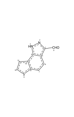 O=Cc1n[nH]c2c1ccc1sccc12